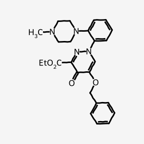 CCOC(=O)c1nn(-c2ccccc2N2CCN(C)CC2)cc(OCc2ccccc2)c1=O